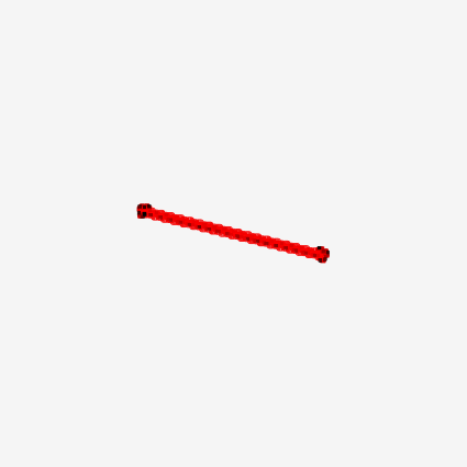 c1ccc(C(OCCOCCOCCOCCOCCOCCOCCOCCOCCOCCOCCOCCOCCOCCOCCOCCOCCOCCOCCOCCOCCOCCOCCOCCOCCOCCOCCOCCOCCOCCOCCOCCOCCOCCOCCOCCOC(c2ccccc2)(c2ccccc2)c2ccccc2)(c2ccccc2)c2ccccc2)cc1